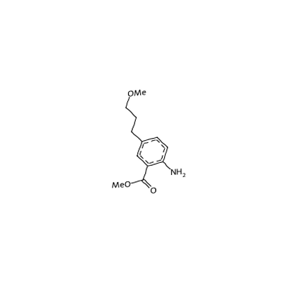 COCCCc1ccc(N)c(C(=O)OC)c1